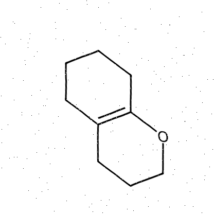 C1CCC2=C(C1)CCCO2